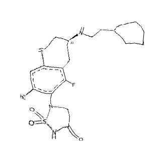 O=C1CN(c2c(O)cc3c(c2F)C[C@H](NCCC2CCCC2)CS3)S(=O)(=O)N1